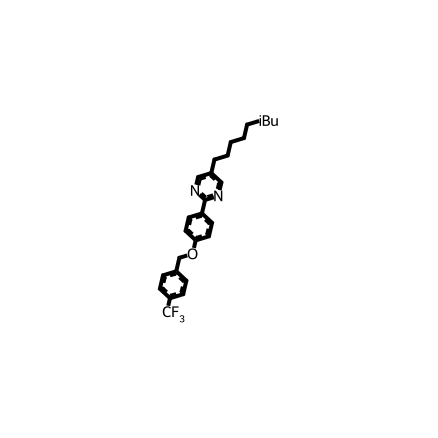 CCC(C)CCCCCc1cnc(-c2ccc(OCc3ccc(C(F)(F)F)cc3)cc2)nc1